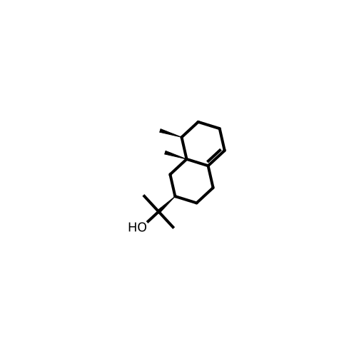 C[C@H]1CCC=C2CC[C@@H](C(C)(C)O)C[C@@]21C